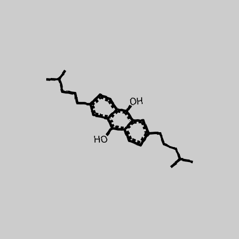 CC(C)CCCc1ccc2c(O)c3cc(CCCC(C)C)ccc3c(O)c2c1